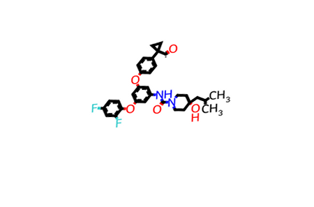 CC(C)CC1(O)CCN(C(=O)Nc2cc(Oc3ccc(C4([C]=O)CC4)cc3)cc(Oc3ccc(F)cc3F)c2)CC1